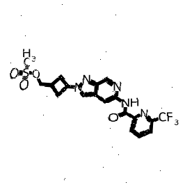 CS(=O)(=O)OCC1CC(n2cc3cc(NC(=O)c4cccc(C(F)(F)F)n4)ncc3n2)C1